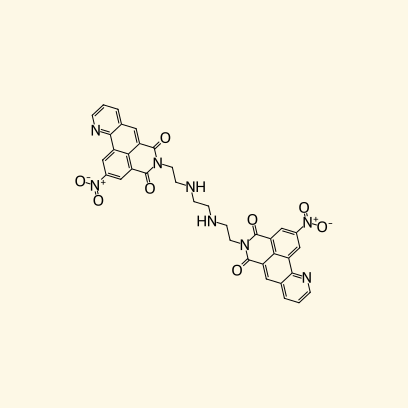 O=C1c2cc([N+](=O)[O-])cc3c2c(cc2cccnc23)C(=O)N1CCNCCNCCN1C(=O)c2cc([N+](=O)[O-])cc3c2c(cc2cccnc23)C1=O